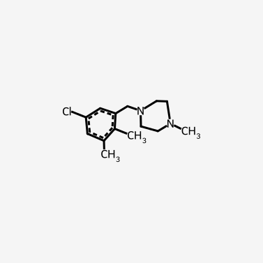 Cc1cc(Cl)cc(CN2CCN(C)CC2)c1C